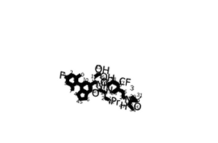 Cc1cc(F)cc(C)c1-c1cc([C@H](CC(O)O)NC(=O)[C@H](CC(C)C)n2cc(CCN3C[C@]4(C)C[C@H]3CO4)c(C(F)(F)F)cc2=O)cc2c1CCC2